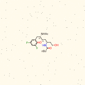 CCCCC(=O)NC(CCO)C[C@H](O)[C@H](Cc1cc(F)cc(F)c1)NC(C)=O